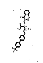 O=C(O)[C@H](CCn1nnc2ccccc2c1=O)[C@H](O)CCc1ccc(-c2ccc(C(F)(F)F)cc2)cc1